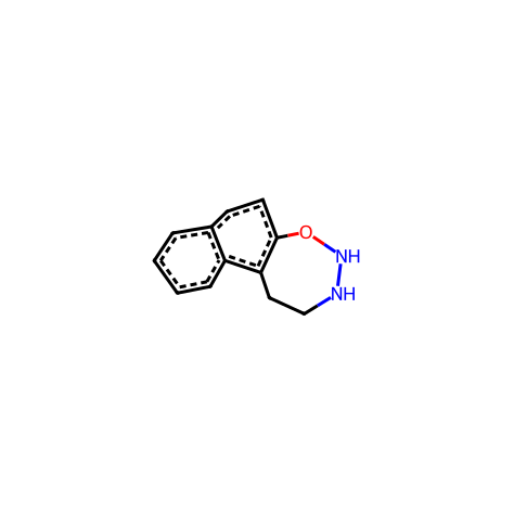 c1ccc2c3c(ccc2c1)ONNCC3